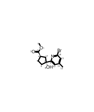 COC(=O)[C@@H]1CC[C@](O)(c2cc(C)cc(Br)n2)C1